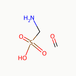 C=O.NCS(=O)(=O)O